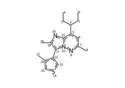 CCC(CC)c1cc(C)nn2c(-c3cscc3C)c(C)nc12